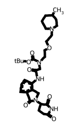 CC1CCCN(CCOCCN(CC(=O)Nc2cccc3c2CN(C2CCC(=O)NC2=O)C3=O)C(=O)OC(C)(C)C)CC1